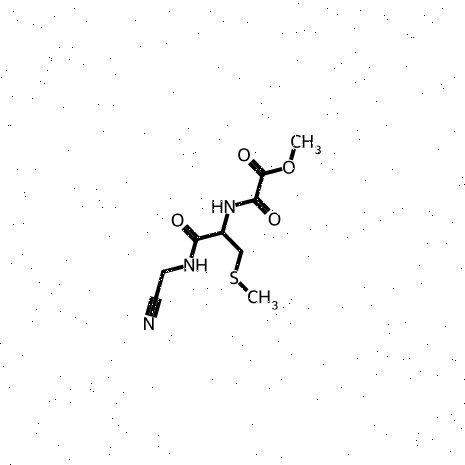 COC(=O)C(=O)NC(CSC)C(=O)NCC#N